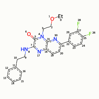 CCOCCn1c(=O)c(NCCc2ccccc2)nc2ccc(-c3ccc(F)c(F)c3)nc21